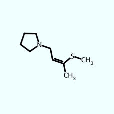 CSC(C)=CCN1CCCC1